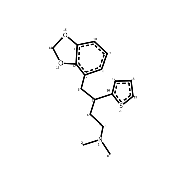 CN(C)CCC(Cc1cccc2c1OCO2)c1cccs1